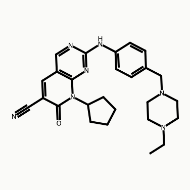 CCN1CCN(Cc2ccc(Nc3ncc4cc(C#N)c(=O)n(C5CCCC5)c4n3)cc2)CC1